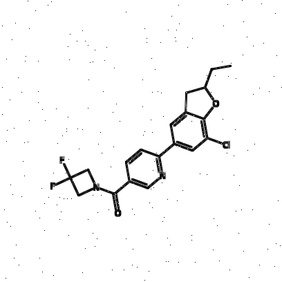 CCC1Cc2cc(-c3ccc(C(=O)N4CC(F)(F)C4)cn3)cc(Cl)c2O1